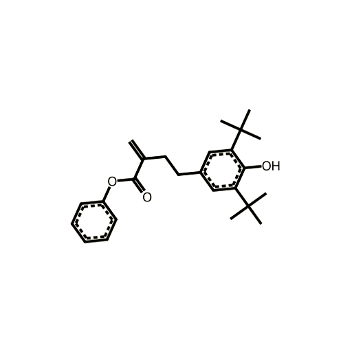 C=C(CCc1cc(C(C)(C)C)c(O)c(C(C)(C)C)c1)C(=O)Oc1ccccc1